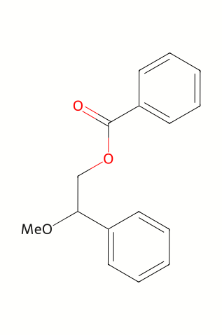 COC(COC(=O)c1ccccc1)c1ccccc1